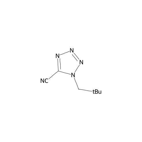 CC(C)(C)Cn1nnnc1C#N